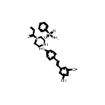 C=CC(=O)N1CCNCC1.NS(=O)(=O)c1ccccc1.Oc1ccc(C=Cc2cc(O)cc(O)c2)cc1